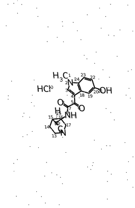 Cl.Cn1cc(C(=O)C(=O)N[C@H]2CN3CCC2CC3)c2cc(O)ccc21